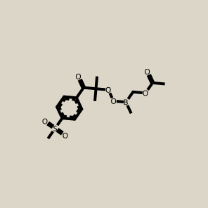 CB(COC(C)=O)OOC(C)(C)C(=O)c1ccc(S(C)(=O)=O)cc1